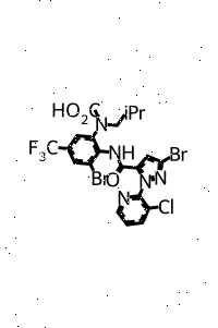 CC(C)CN(C(=O)O)c1cc(C(F)(F)F)cc(Br)c1NC(=O)c1cc(Br)nn1-c1ncccc1Cl